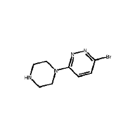 Brc1ccc(N2CCNCC2)nn1